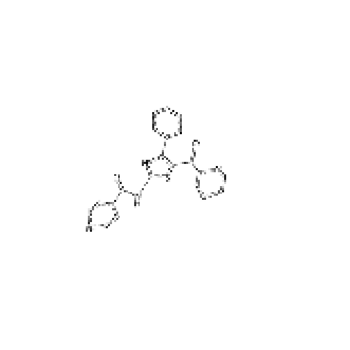 O=C(Nc1nc(-c2ccccc2)c(C(=O)c2ccccn2)s1)c1ccncc1